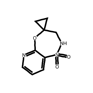 O=S1(=O)NCC2(CC2)Oc2ncccc21